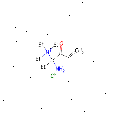 C=CC(=O)C(N)(CC)[N+](CC)(CC)CC.[Cl-]